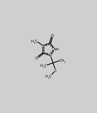 CSC(C)(C)n1[nH]c(=O)n(C)c1=O